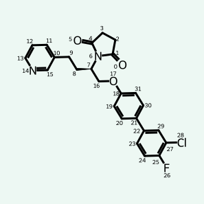 O=C1CCC(=O)N1[C@H](CCc1cccnc1)COc1ccc(-c2ccc(F)c(Cl)c2)cc1